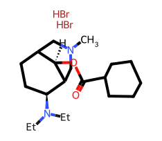 Br.Br.CCN(CC)[C@H]1CCC2CN(C)CC1[C@@H]2OC(=O)C1CCCCC1